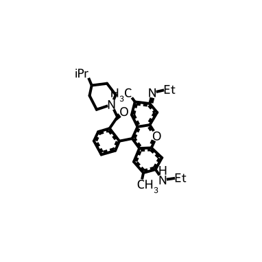 CC/N=c1\cc2oc3cc(NCC)c(C)cc3c(-c3ccccc3C(=O)N3CCC(C(C)C)CC3)c-2cc1C